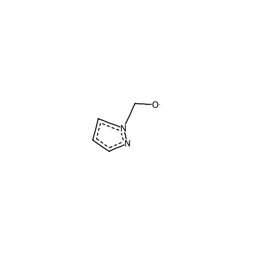 [O]Cn1cccn1